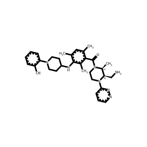 Cc1cc(C)c(C(=O)N2CCN(c3cccnn3)[C@H](CN)[C@@H]2C)c(C)c1NC1CCN(c2ccccc2C#N)CC1